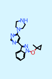 CC1(On2nc(-c3cc(N4CCNCC4)ncn3)c3ccccc32)CC1